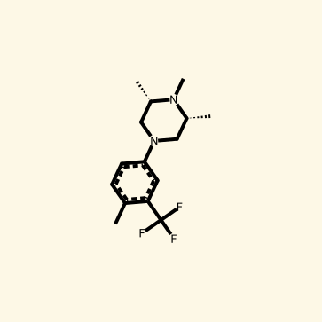 Cc1ccc(N2C[C@@H](C)N(C)[C@@H](C)C2)cc1C(F)(F)F